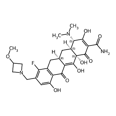 COC1CN(Cc2cc(O)c3c(c2F)C[C@H]2C[C@H]4[C@H](N(C)C)C(O)=C(C(N)=O)C(=O)[C@@]4(O)C(O)=C2C3=O)C1